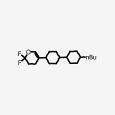 CCCCC1CCC(C2CCC(C3=COC(F)(F)CC3)CC2)CC1